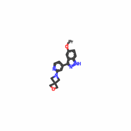 CC(C)Oc1ccc2[nH]nc(-c3ccnc(N4CC5(COC5)C4)c3)c2c1